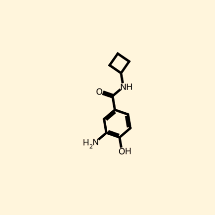 Nc1cc(C(=O)NC2CCC2)ccc1O